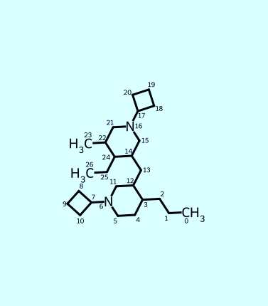 CCCC1CCN(C2CCC2)CC1CC1CN(C2CCC2)CC(C)C1CC